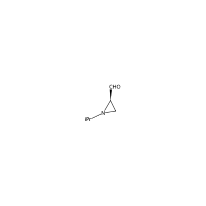 CC(C)N1C[C@@H]1C=O